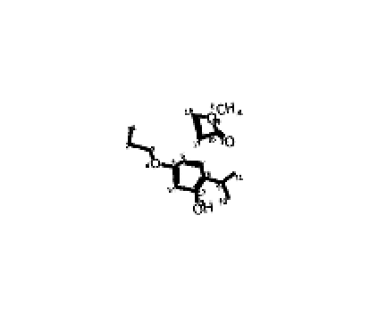 C.CCCOc1ccc(C(C)C)c(O)c1.O=C1C=CO1